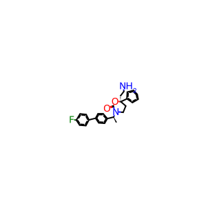 C[C@@H](c1ccc(-c2ccc(F)cc2)cc1)N1CC[C@](CCN)(c2ccccc2)OC1=O